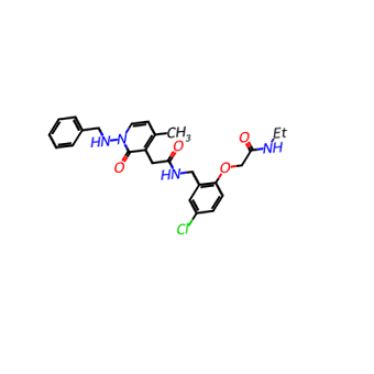 CCNC(=O)COc1ccc(Cl)cc1CNC(=O)Cc1c(C)ccn(NCc2ccccc2)c1=O